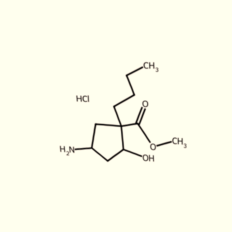 CCCCC1(C(=O)OC)CC(N)CC1O.Cl